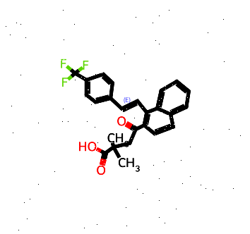 CC(C)(CC(=O)c1ccc2ccccc2c1/C=C/c1ccc(C(F)(F)F)cc1)C(=O)O